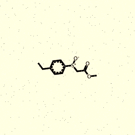 CCc1ccc([S+]([O-])CC(=O)OC)cc1